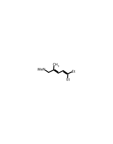 CCC(=C/C=C(\C)CNC)CC